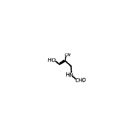 N#C/C(=C\O)CNC=O